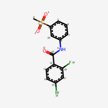 CS(=O)(=O)c1cccc(NC(=O)c2ccc(Br)cc2F)c1